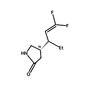 CCC(C=C(F)F)[C@H]1CNC(=O)C1